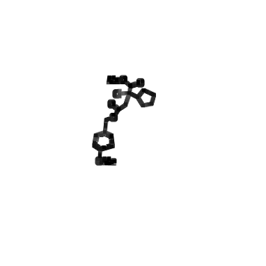 COC(=O)C(Cl)(CC(=O)OCc1ccc(OC)cc1)C1CCCC1